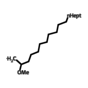 [CH2]C(CCCCCCCCCCCCCCCC)OC